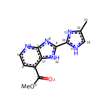 COC(=O)c1ccnc2nc(-c3nc(C)c[nH]3)[nH]c12